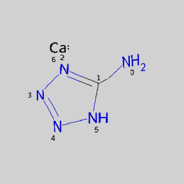 Nc1nnn[nH]1.[Ca]